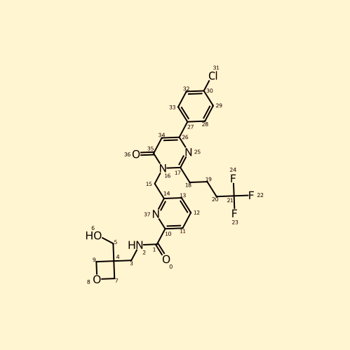 O=C(NCC1(CO)COC1)c1cccc(Cn2c(CCCC(F)(F)F)nc(-c3ccc(Cl)cc3)cc2=O)n1